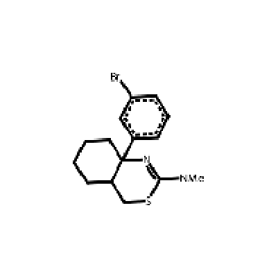 CNC1=NC2(c3cccc(Br)c3)CCCCC2CS1